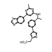 Cc1nc(NC(C)c2cccc(-c3cnn(CC(=O)O)c3)c2)cc(-c2ccc3ncsc3c2)n1